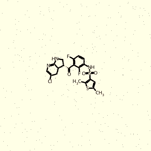 Cc1cc(S(=O)(=O)Nc2ccc(F)c(C(=O)[C@H]3CNC4=NC=C(Cl)CC43)c2F)c(C)s1